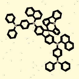 C1=CCCC(N(c2ccccc2)c2ccc(N(c3ccc4c(c3)[C@@]3(c5cc(N(c6ccc(N(c7ccccc7)c7ccccc7)cc6)c6cccc7ccccc67)ccc5-4)c4ccccc4-n4c5ccccc5c5cccc3c54)c3cccc4ccccc34)cc2)=C1